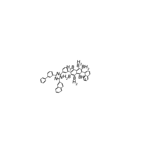 Bc1c(-c2cccc3ccccc23)c(B)c2c(B)c(B)c(-c3cccc(-c4nc(-c5cccc(-c6ccccc6)c5)nc(-c5ccc6ccccc6c5)n4)c3)c(B)c2c1B